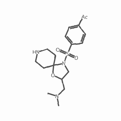 CC(=O)c1ccc(S(=O)(=O)N2CC(CN(C)C)OC23CCNCC3)cc1